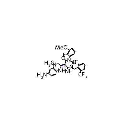 COc1cccc(N2C(=O)/C(=C3\CN(C)c4cc(N)ccc4N3)C(=N)N(Cc3c(F)cccc3C(F)(F)F)C2=O)c1F